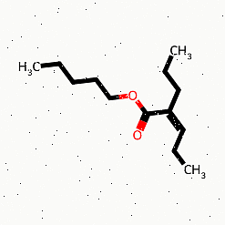 CCC=C(CCC)C(=O)OCCCCC